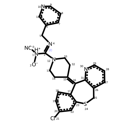 N#C[NH+]([O-])/C(=N\Cc1cccnc1)N1CCC(=C2c3ccc(Cl)cc3SCc3cccnc32)CC1